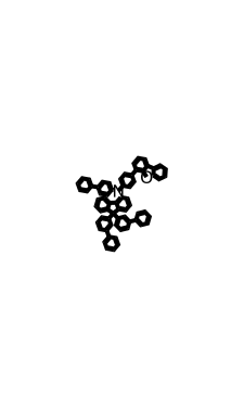 c1ccc(-c2ccc(N(c3ccc(-c4cccc5c4oc4ccccc45)cc3)c3cccc4c3-c3ccccc3C4(c3cccc(-c4ccccc4)c3)c3cccc(-c4ccccc4)c3)cc2)cc1